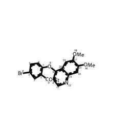 CCOC(=O)c1cc(Br)ccc1Oc1ccnc2cc(OC)c(OC)cc12